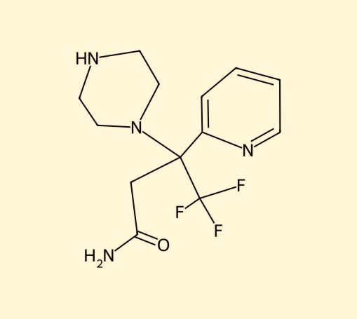 NC(=O)CC(c1ccccn1)(N1CCNCC1)C(F)(F)F